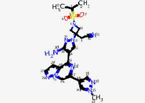 CC(C)S(=O)(=O)N1CC(CC#N)(n2cc(-c3nc(-c4cnn(C)c4)cn4nccc34)c(N)n2)C1